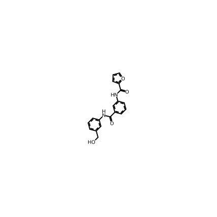 O=C(Nc1cccc(CO)c1)c1cccc(NC(=O)c2ccco2)c1